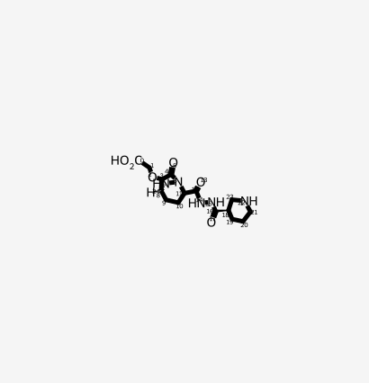 O=C(O)COC1C(=O)N2N[C@H]1CCC2C(=O)NNC(=O)[C@@H]1CCCNC1